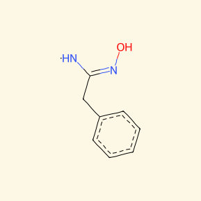 [NH]C(Cc1ccccc1)=NO